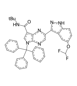 CC(C)(C)NC(=O)c1cn(C(c2ccccc2)(c2ccccc2)c2ccccc2)c2ncc(-c3n[nH]c4ccc(OC(F)F)cc34)nc12